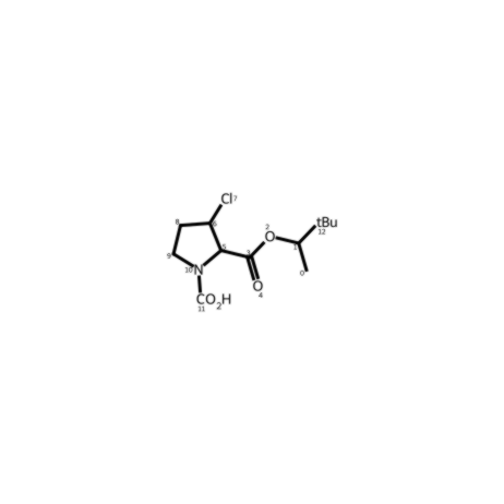 CC(OC(=O)C1C(Cl)CCN1C(=O)O)C(C)(C)C